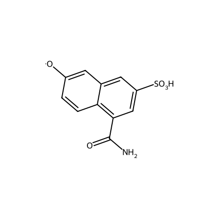 NC(=O)c1cc(S(=O)(=O)O)cc2cc([O])ccc12